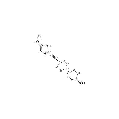 CCCC[C@H]1CC[C@H]([C@H]2CC[C@H](C#Cc3ccc(OC(F)(F)F)cc3)CC2)CC1